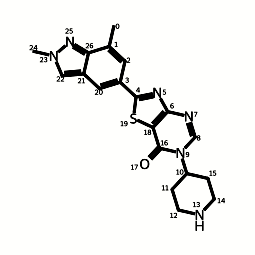 Cc1cc(-c2nc3ncn(C4CCNCC4)c(=O)c3s2)cc2cn(C)nc12